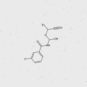 C#CC(CC)OC(C#N)NC(=O)c1cccc(F)c1